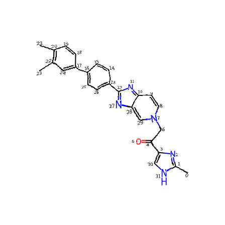 Cc1nc(C(=O)Cn2ccc3nc(-c4ccc(-c5ccc(C)c(C)c5)cc4)nc-3c2)c[nH]1